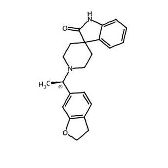 C[C@H](c1ccc2c(c1)OCC2)N1CCC2(CC1)C(=O)Nc1ccccc12